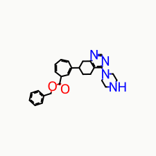 O=C(OCc1ccccc1)C1C=CC=CC(C2CCc3c(ncnc3N3CCNCC3)C2)=C1